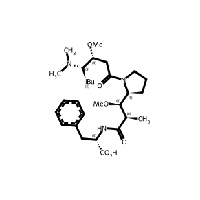 CC[C@H](C)[C@@H]([C@@H](CC(=O)N1CCC[C@H]1[C@H](OC)[C@@H](C)C(=O)N[C@@H](Cc1ccccc1)C(=O)O)OC)N(C)C